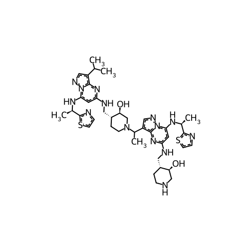 CC(C)c1cnn2c(N[C@H](C)c3nccs3)cc(NC[C@H]3CCN(C(C)c4cnn5c(N[C@@H](C)c6nccs6)cc(NC[C@H]6CCNC[C@@H]6O)nc45)C[C@@H]3O)nc12